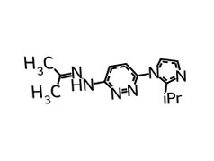 CC(C)=NNc1ccc(-n2ccnc2C(C)C)nn1